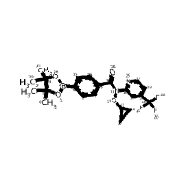 CC1(C)OB(c2ccc(C(=O)N(OC3CC3)c3cc(C(F)(F)F)ccn3)cc2)OC1(C)C